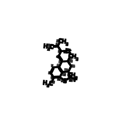 C=C(C)C(/C=C1/c2ccc(C)c3c2C(C)(CC1C)C(F)S3)CC